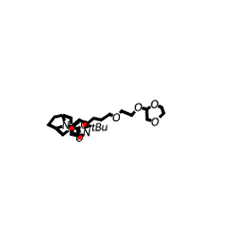 CC(C)(C)OC(=O)N1CC2CCC(C1)N2c1ccnc(CCCOCCOC2COCCO2)c1